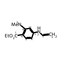 C=CNc1ccc(C(=O)OCC)c(NC)c1